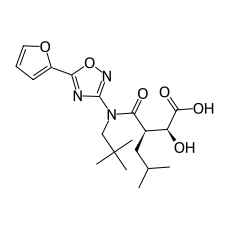 CC(C)C[C@@H](C(=O)N(CC(C)(C)C)c1noc(-c2ccco2)n1)[C@H](O)C(=O)O